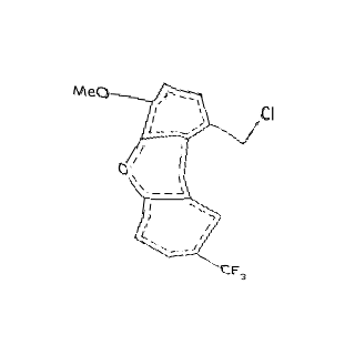 COc1ccc(CCl)c2c1oc1ccc(C(F)(F)F)cc12